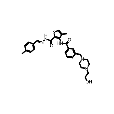 Cc1ccc(/C=N/NC(=O)c2scc(C)c2NC(=O)c2cccc(CN3CCN(CCO)CC3)c2)cc1